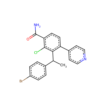 CC(c1ccc(Br)cc1)c1c(-c2ccncc2)ccc(C(N)=O)c1Cl